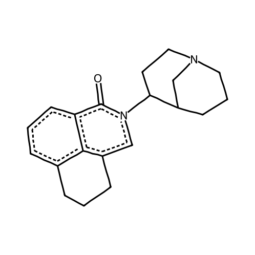 O=c1c2cccc3c2c(cn1C1CCN2CCCC1C2)CCC3